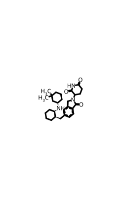 CC1(C)CCC[C@H](N[C@H]2CCCC[C@@H]2Cc2ccc3c(c2)CN(C2CCC(=O)NC2=O)C3=O)C1